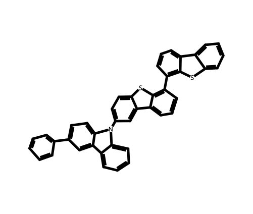 c1ccc(-c2ccc3c(c2)c2ccccc2n3-c2ccc3sc4c(-c5cccc6c5sc5ccccc56)cccc4c3c2)cc1